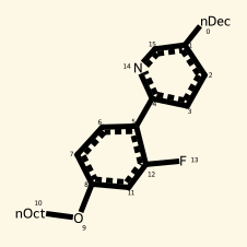 CCCCCCCCCCc1ccc(-c2ccc(OCCCCCCCC)cc2F)nc1